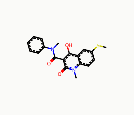 CSc1ccc2c(c1)c(O)c(C(=O)N(C)c1ccccc1)c(=O)n2C